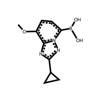 COc1ccc(B(O)O)n2nc(C3CC3)nc12